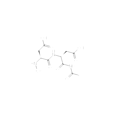 CN[C@@H](CC(=O)O)C(=O)N[C@@H](CC(=O)O)C(=O)NC(C)=O